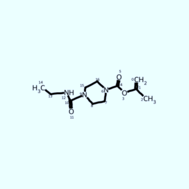 C=C(C)OC(=O)N1CCN(C(=O)NCC)CC1